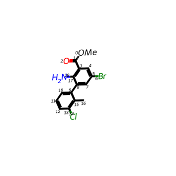 COC(=O)c1cc(Br)cc(-c2cccc(Cl)c2C)c1N